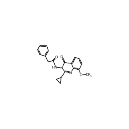 O=C(Cc1ccccc1)Nn1c(C2CC2)nc2c(OC(F)(F)F)cccc2c1=O